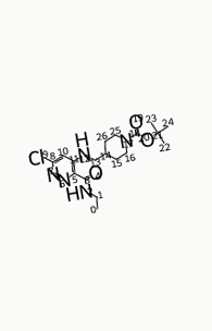 CCNC(=O)c1nnc(Cl)cc1NCC1CCN(C(=O)OC(C)(C)C)CC1